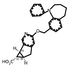 O=C(O)[C@H]1[C@@H]2Cc3cc(OCc4ccc5c(c4)N(c4ccccc4)CCCC5)ncc3[C@@H]21